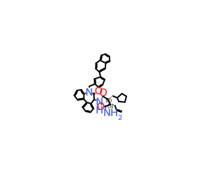 C=CC[C@H](C(N)=O)[C@@H](CC1CCCC1)C(=O)NC1C(=O)N(Cc2cccc(-c3ccc4ccccc4c3)c2)c2ccccc2-c2ccccc21